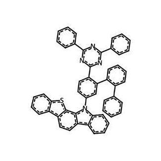 c1ccc(-c2nc(-c3ccccc3)nc(-c3ccc(-n4c5ccccc5c5ccc6c7ccccc7sc6c54)cc3-c3ccccc3-c3ccccc3)n2)cc1